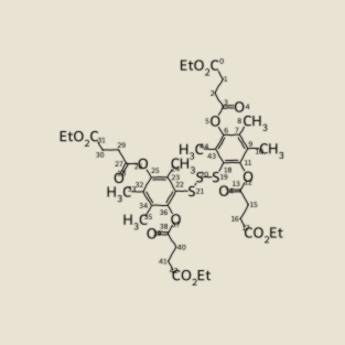 CCOC(=O)CCC(=O)Oc1c(C)c(C)c(OC(=O)CCC(=O)OCC)c(SSSc2c(C)c(OC(=O)CCC(=O)OCC)c(C)c(C)c2OC(=O)CCC(=O)OCC)c1C